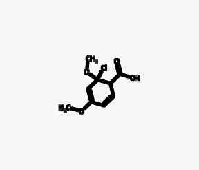 COC1=CC(Cl)(OC)C(C(=O)O)C=C1